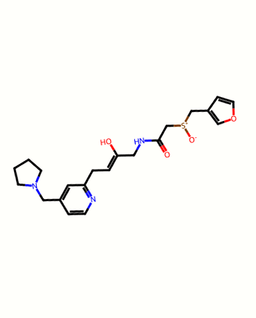 O=C(C[S+]([O-])Cc1ccoc1)NCC(O)=CCc1cc(CN2CCCC2)ccn1